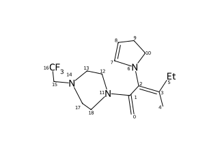 C=C(/C(=C(\C)CC)N1C=CCC1)N1CCN(CC(F)(F)F)CC1